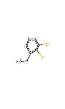 CCc1cc[c]c(S)c1S